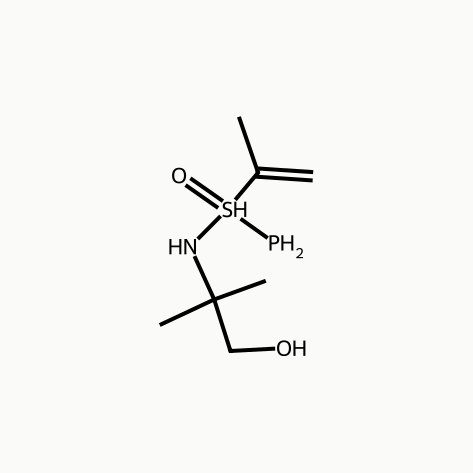 C=C(C)[SH](=O)(P)NC(C)(C)CO